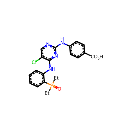 CCP(=O)(CC)c1ccccc1Nc1nc(Nc2ccc(C(=O)O)cc2)ncc1Cl